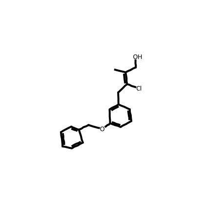 C/C(CO)=C(/Cl)Cc1cccc(OCc2ccccc2)c1